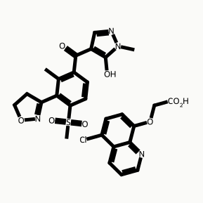 Cc1c(C(=O)c2cnn(C)c2O)ccc(S(C)(=O)=O)c1C1=NOCC1.O=C(O)COc1ccc(Cl)c2cccnc12